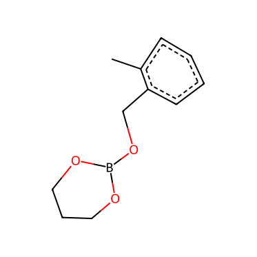 Cc1ccccc1COB1OCCCO1